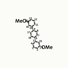 COc1cccc(-c2ccc(-c3cccc(OC)c3)cc2)c1